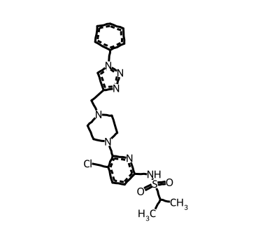 CC(C)S(=O)(=O)Nc1ccc(Cl)c(N2CCN(Cc3cn(-c4ccccc4)nn3)CC2)n1